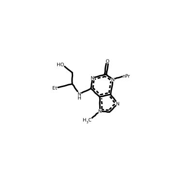 CCCn1c(=O)nc(NC(CC)CO)c2c1ncn2C